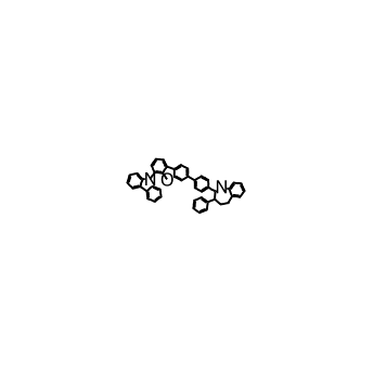 c1ccc(C2CCc3ccccc3N=C2c2ccc(-c3ccc4c(c3)oc3c(-n5c6ccccc6c6ccccc65)cccc34)cc2)cc1